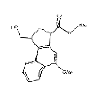 COc1cc2c(c3ccccc13)C(CO)CN2C(=O)OC(C)(C)C